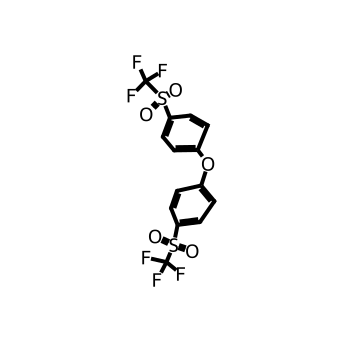 O=S(=O)(c1ccc(Oc2ccc(S(=O)(=O)C(F)(F)F)cc2)cc1)C(F)(F)F